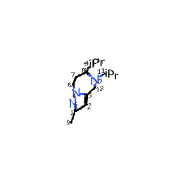 Cc1cc2n(n1)CCC(C(C)C)N(C(C)C)C2